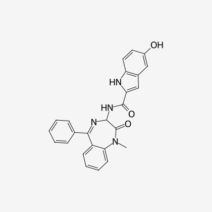 CN1C(=O)C(NC(=O)c2cc3cc(O)ccc3[nH]2)N=C(c2ccccc2)c2ccccc21